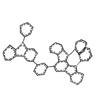 c1ccc(-n2c3ccccc3c3cc(-c4cccc(-c5cc6c7ccccc7n(-c7ccccc7)c6c6c5c5ccccc5n6-c5ccccc5)c4)ccc32)cc1